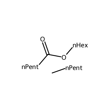 CCCCCC.CCCCCCOC(=O)CCCCC